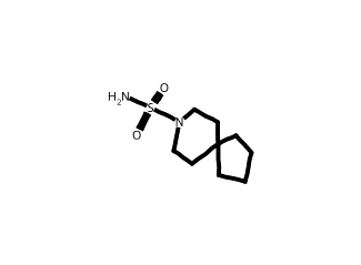 NS(=O)(=O)N1CCC2(CCCC2)CC1